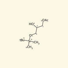 CC(=O)OCC(O)CO[Si](C)(C)C(C)(C)C